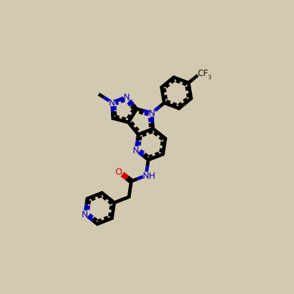 Cn1cc2c3nc(NC(=O)Cc4ccncc4)ccc3n(-c3ccc(C(F)(F)F)cc3)c2n1